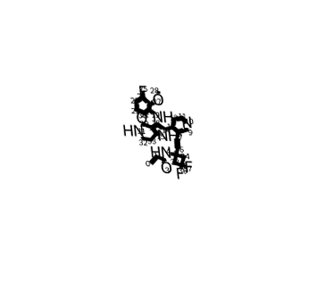 C=CC(=O)NC1(C#Cc2cnccc2-c2[nH]c3c(c2Nc2cccc(F)c2OC)C(=O)NCC3)CC(F)(F)C1